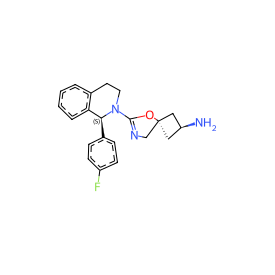 N[C@H]1C[C@@]2(CN=C(N3CCc4ccccc4[C@@H]3c3ccc(F)cc3)O2)C1